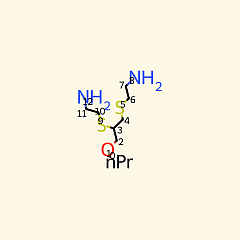 CCCOCC(CSCCN)SCCN